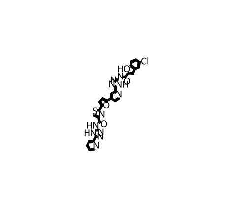 O=C(Nc1nnc(-c2ccccn2)[nH]1)c1csc(-c2ccc(-c3ccnc(-c4nnc(NC(=O)C5Cc6cc(Cl)ccc6O5)[nH]4)c3)o2)n1